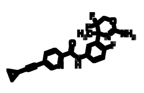 CC1(c2cc(NC(=O)c3ccc(C#CC4CC4)cn3)ccc2F)N=C(N)OCC1(F)F